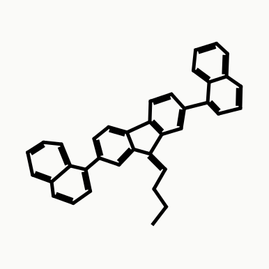 CCCC=C1c2cc(-c3cccc4ccccc34)ccc2-c2ccc(-c3cccc4ccccc34)cc21